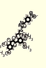 COc1cc(OC)c2c(=O)c(OCCCCSc3nnc(-c4ccc([N+](=O)[O-])cc4)o3)c(-c3cc(OC)c(OC)c(OC)c3)oc2c1